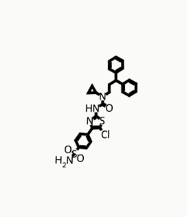 NS(=O)(=O)c1ccc(-c2nc(NC(=O)N(CCC(c3ccccc3)c3ccccc3)C3CC3)sc2Cl)cc1